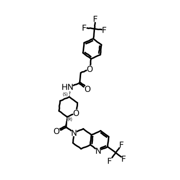 O=C(COc1ccc(C(F)(F)F)cc1)N[C@H]1CC[C@H](C(=O)N2CCc3nc(C(F)(F)F)ccc3C2)OC1